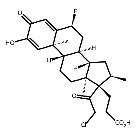 C[C@@H]1C[C@H]2[C@@H]3C[C@H](F)C4=CC(=O)C(O)=C[C@]4(C)[C@H]3CC[C@]2(C)[C@@]1(CCC(=O)O)C(=O)CCl